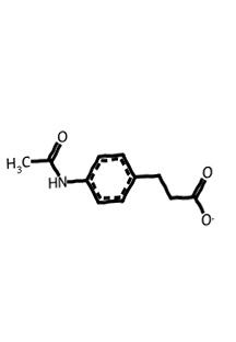 CC(=O)Nc1ccc(CCC([O])=O)cc1